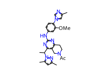 COc1cc(Nc2nc3c(c(C(C)n4nc(C)cc4C)n2)CN(C(C)=O)CC3)ccc1-n1cnc(C)c1